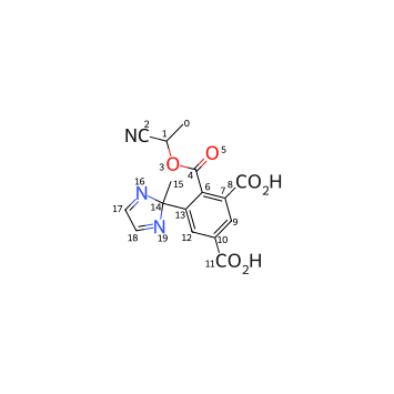 CC(C#N)OC(=O)c1c(C(=O)O)cc(C(=O)O)cc1C1(C)N=CC=N1